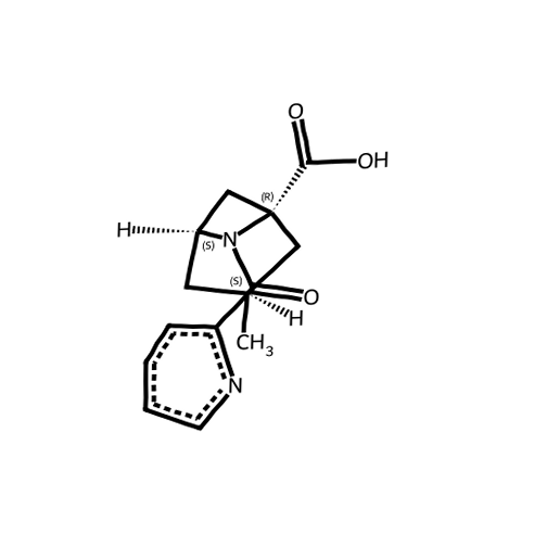 C[C@H]1C[C@H]2C[C@@](C(=O)O)(C1)N2C(=O)c1ccccn1